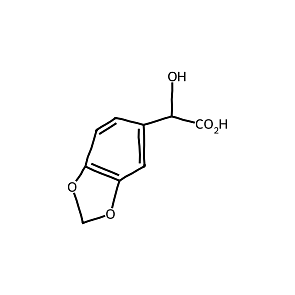 O=C(O)C(O)c1ccc2c(c1)OCO2